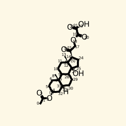 CC(=O)O[C@H]1CC[C@]2(C)C3CC[C@]4(C)[C@@H](C(=O)COC(=O)C(=O)O)CC[C@]4(O)C3CC[C@@H]2C1